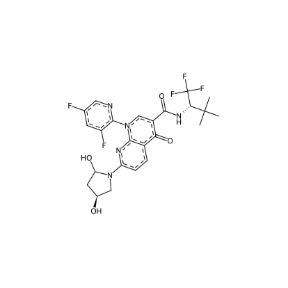 CC(C)(C)[C@H](NC(=O)c1cn(-c2ncc(F)cc2F)c2nc(N3C[C@@H](O)CC3O)ccc2c1=O)C(F)(F)F